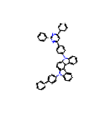 c1ccc(-c2ccc(-n3c4ccccc4c4c5c6ccccc6n(-c6ccc(-c7cc(-c8ccccc8)nc(-c8ccccc8)n7)cc6)c5ccc43)cc2)cc1